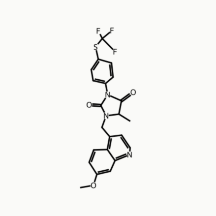 COc1ccc2c(CN3C(=O)N(c4ccc(SC(F)(F)F)cc4)C(=O)C3C)ccnc2c1